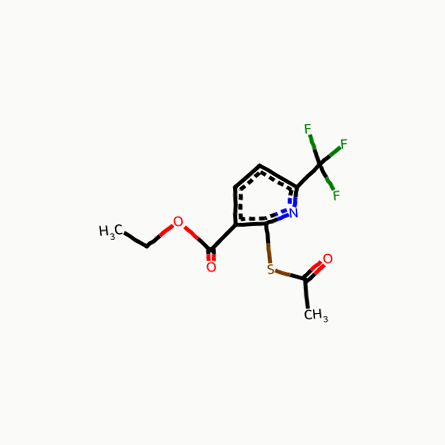 CCOC(=O)c1ccc(C(F)(F)F)nc1SC(C)=O